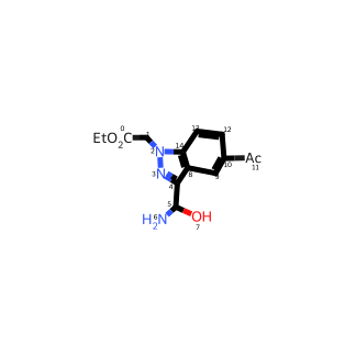 CCOC(=O)Cn1nc(C(N)O)c2cc(C(C)=O)ccc21